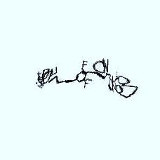 C[C@H](OC1CCCCO1)c1nccn1Cc1cc(-c2c(F)cc(C#CCCCO[Si](C)(C)C(C)(C)C)cc2F)on1